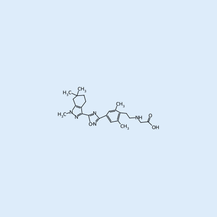 Cc1cc(-c2noc(-c3nn(C)c4c3CCC(C)(C)C4)n2)cc(C)c1CCNCC(=O)O